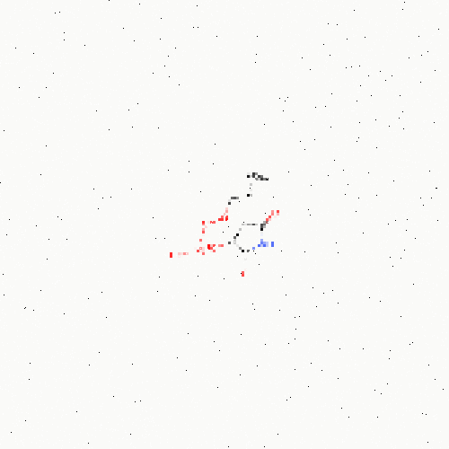 CCCCCCCCCCOOOO.O=C1CC(O)C(=O)N1